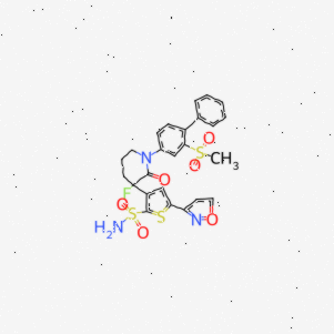 CS(=O)(=O)c1cc(N2CCCC(F)(c3cc(-c4ccon4)sc3S(N)(=O)=O)C2=O)ccc1-c1ccccc1